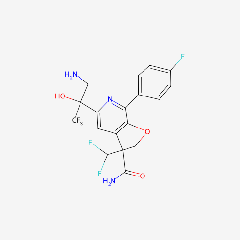 NCC(O)(c1cc2c(c(-c3ccc(F)cc3)n1)OCC2(C(N)=O)C(F)F)C(F)(F)F